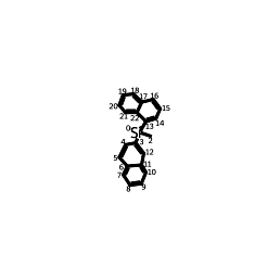 C[Si](C)(c1ccc2ccccc2c1)c1cccc2ccccc12